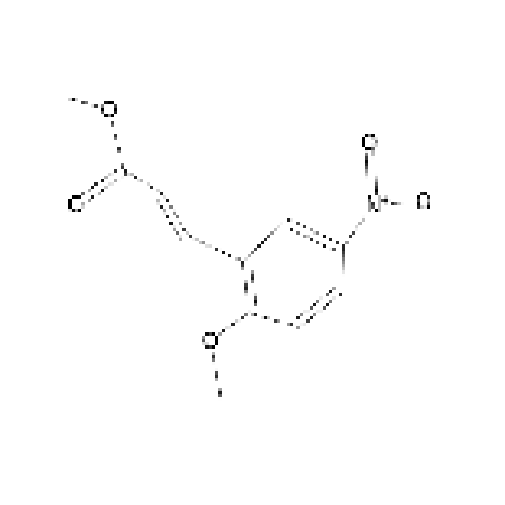 COC(=O)/C=C/c1cc([N+](=O)[O-])ccc1OC